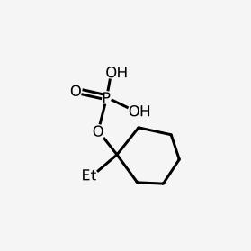 CCC1(OP(=O)(O)O)CCCCC1